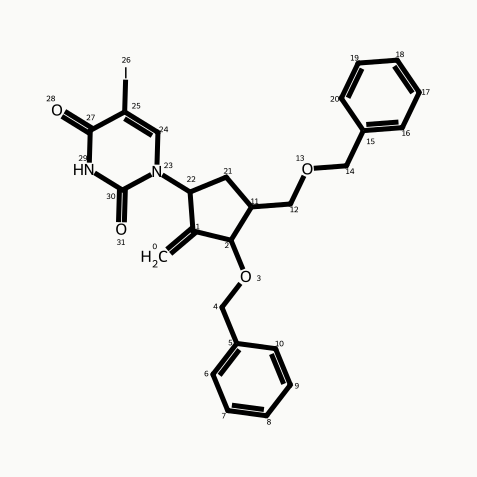 C=C1C(OCc2ccccc2)C(COCc2ccccc2)CC1n1cc(I)c(=O)[nH]c1=O